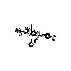 CCN(CC)c1ccc(/C=C/c2nc3cc4[nH]c(=O)c(CCC(=O)OC(C)(C)C)nc4cc3n2CCCN2CCCC2=O)cc1